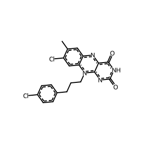 Cc1cc2nc3c(=O)[nH]c(=O)nc-3n(CCCc3ccc(Cl)cc3)c2cc1Cl